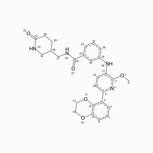 COc1nc(-c2cccc3c2OCCO3)ccc1Nc1cccc(C(=O)NCC2CCC(=O)NC2)c1